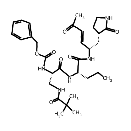 CCC[C@H](NC(=O)[C@H](CNC(=O)C(C)(C)C)NC(=O)OCc1ccccc1)C(=O)N[C@H](/C=C/C(C)=O)C[C@@H]1CCNC1=O